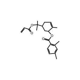 C=CC(=O)OC(C)(C)C1CC=C(C)C(OC(=O)c2ccc(C)cc2C)C1